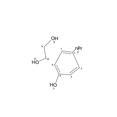 CCCc1ccc(O)cc1.OCCO